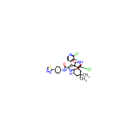 CC1(C)CCC2(CC1)N[C@@H](C(=O)N[C@H]1CC[C@H](c3nncs3)CC1)[C@H](c1ccnc(Cl)c1F)[C@]21C(=O)Nc2cc(Cl)ccc21